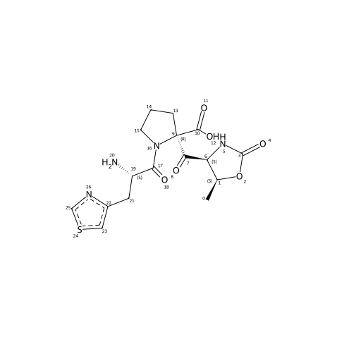 C[C@@H]1OC(=O)N[C@@H]1C(=O)[C@@]1(C(=O)O)CCCN1C(=O)[C@@H](N)Cc1cscn1